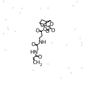 C=CC(=O)NCC(=O)NCCC(=O)OC1C2CC3C1OS(=O)(=O)C3C2